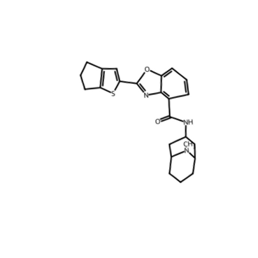 CN1C2CCCC1CC(NC(=O)c1cccc3oc(-c4cc5c(s4)CCC5)nc13)C2